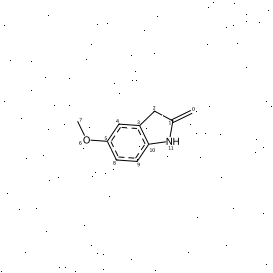 C=C1Cc2cc(OC)ccc2N1